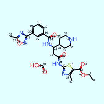 CCOC(=O)c1sc(NC(=O)CC(NC(=O)c2cccc(-c3noc(C)n3)c2)C2CCNCC2)nc1C.O=CO